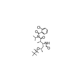 CC(C)N(C(=O)c1ccccc1Cl)C(=O)[C@H](C)[C@H]1NC(=O)[C@@H]1[C@@H](C)O[Si](C)(C)C(C)(C)C